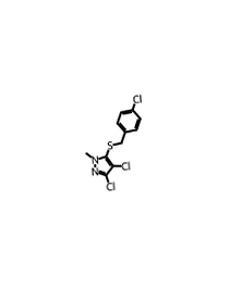 Cn1nc(Cl)c(Cl)c1SCc1ccc(Cl)cc1